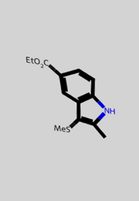 CCOC(=O)c1ccc2[nH]c(C)c(SC)c2c1